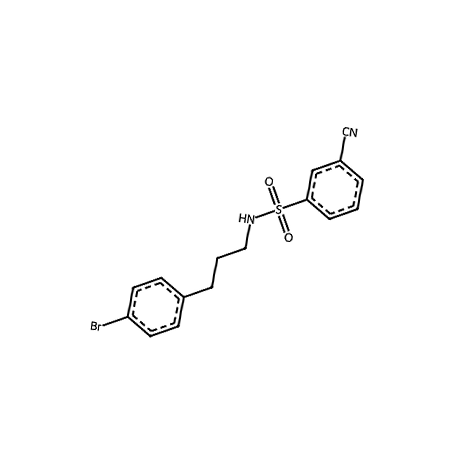 N#Cc1cccc(S(=O)(=O)NCCCc2ccc(Br)cc2)c1